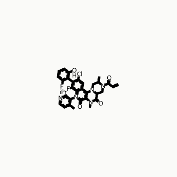 C=CC(=O)N1CC2C(=O)N(C)c3c(c4cc(Cl)c(-c5c(O)cccc5F)c(F)c4n(-c4c(C)ccnc4C(C)C)c3=O)N2CC1C